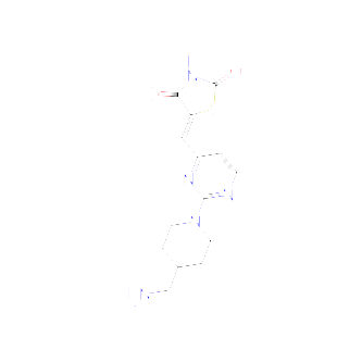 C[C@@H]1CN(c2nccc(/C=C3\SC(=O)NC3=O)n2)C[C@H](C)C1CN